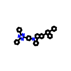 c1ccc(-c2nc(-c3ccccc3)nc(-c3ccc(-n4c5ccccc5c5c6ccc(-c7ccc(-c8ccccc8)c8ccccc78)cc6ccc54)cc3)n2)cc1